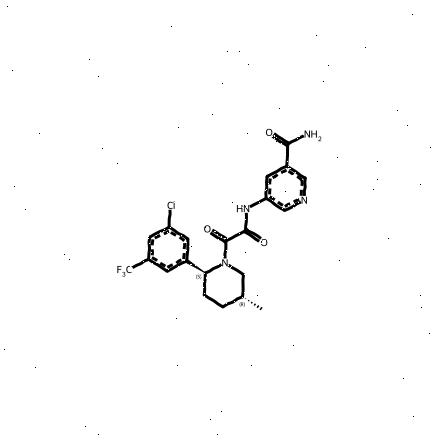 C[C@@H]1CC[C@@H](c2cc(Cl)cc(C(F)(F)F)c2)N(C(=O)C(=O)Nc2cncc(C(N)=O)c2)C1